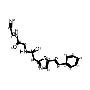 N#CCNC(=O)CNC(=O)Cc1ncc(/C=C/c2ccccc2)s1